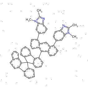 Cc1nc2ccc(-c3cccc4c(-c5cccc6c5-c5ccccc5C65c6ccccc6-c6ccc7ccccc7c65)c5cccc(-c6ccc7nc(C)n(C)c7c6)c5cc34)cc2n1C